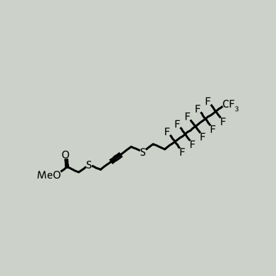 COC(=O)CSCC#CCSCCC(F)(F)C(F)(F)C(F)(F)C(F)(F)C(F)(F)C(F)(F)F